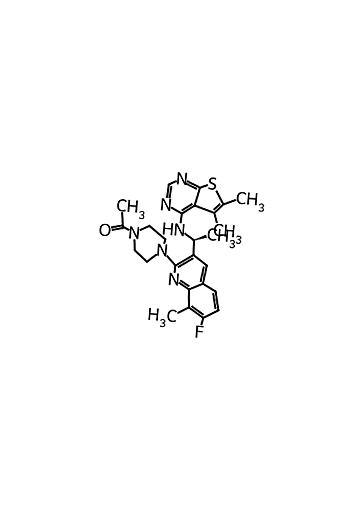 CC(=O)N1CCN(c2nc3c(C)c(F)ccc3cc2[C@H](C)Nc2ncnc3sc(C)c(C)c23)CC1